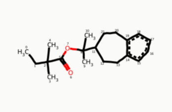 CCC(C)(C)C(=O)OC(C)(C)C1CCc2ccccc2CC1